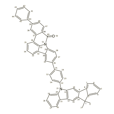 CC1(C)c2ccccc2-c2cc3c(cc21)c1ccccc1n3-c1ccc(-c2ccc3c(c2)c2cccc4c5cc(-c6ccccc6)ccc5c(=O)n3c42)cc1